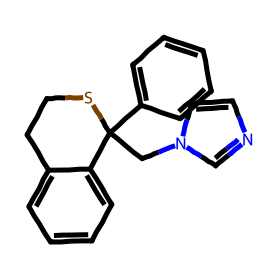 c1ccc(C2(Cn3ccnc3)SCCc3ccccc32)cc1